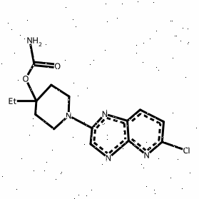 CCC1(OC(N)=O)CCN(c2cnc3nc(Cl)ccc3n2)CC1